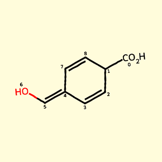 O=C(O)C1C=CC(=CO)C=C1